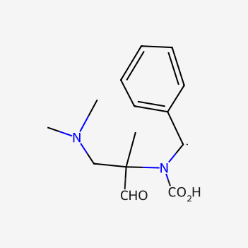 CN(C)CC(C)(C=O)N([CH]c1ccccc1)C(=O)O